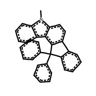 Cn1c2ccccc2c2c3c(ccc21)-c1ccccc1C3(c1ccccc1)c1ccccc1